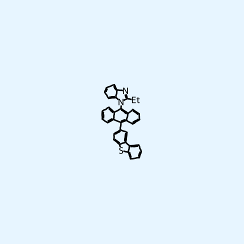 CCc1nc2ccccc2n1-c1c2ccccc2c(-c2ccc3sc4ccccc4c3c2)c2ccccc12